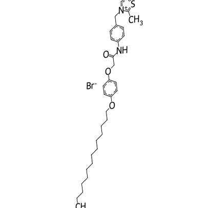 CCCCCCCCCCCCCCOc1ccc(OCC(=O)Nc2ccc(C[n+]3ccsc3C)cc2)cc1.[Br-]